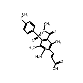 COC(=O)c1c(C)c(C=CC(=O)O)c(N)c(C)c1S(=O)(=O)c1ccc(OC)cc1